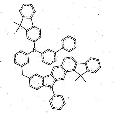 CC1(C)c2ccccc2-c2ccc(N(c3cccc(Cc4ccc5c(c4)c4cc6ccc7c(c6cc4n5-c4ccccc4)C(C)(C)c4ccccc4-7)c3)c3cccc(-c4ccccc4)c3)cc21